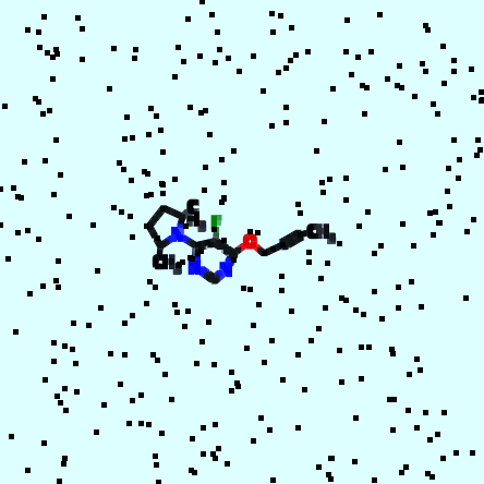 CC#CCOc1ncnc(N2C(C)CCC2C)c1F